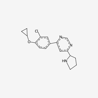 Clc1cc(-c2cc(C3CCCN3)ncn2)ccc1OC1CC1